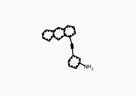 Nc1cccc(C#Cc2cccc3cc4ccccc4cc23)c1